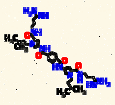 CC(C)CCn1cc(NC(=O)c2ccc(C(=O)Nc3cc(C(=O)NCCCC(=N)N)n(CCC(C)C)c3)cc2)cc1C(=O)NCCCC(=N)N